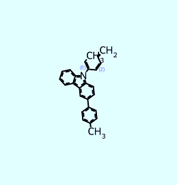 C=C/C=C\C(=C/C)n1c2ccccc2c2cc(-c3ccc(C)cc3)ccc21